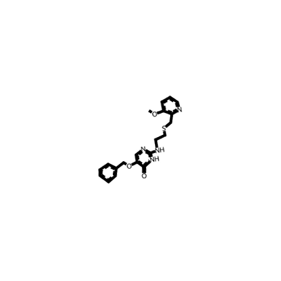 COc1cccnc1CSCCNc1ncc(OCc2ccccc2)c(=O)[nH]1